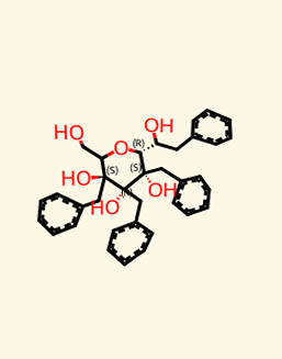 OCC1O[C@H](C(O)Cc2ccccc2)[C@@](O)(Cc2ccccc2)[C@@](O)(Cc2ccccc2)[C@]1(O)Cc1ccccc1